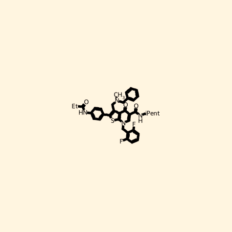 CCCC(C)NC(=O)c1cn(Cc2c(F)cccc2F)c2sc(-c3ccc(NC(=O)CC)cc3)c(CN(C)Cc3ccccc3)c2c1=O